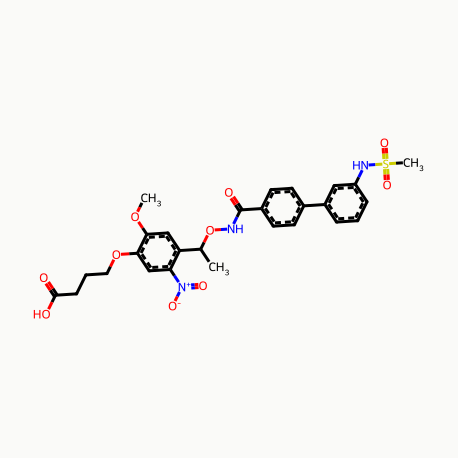 COc1cc(C(C)ONC(=O)c2ccc(-c3cccc(NS(C)(=O)=O)c3)cc2)c([N+](=O)[O-])cc1OCCCC(=O)O